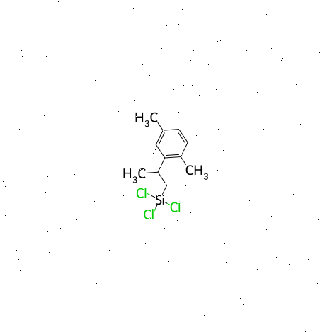 Cc1ccc(C)c(C(C)C[Si](Cl)(Cl)Cl)c1